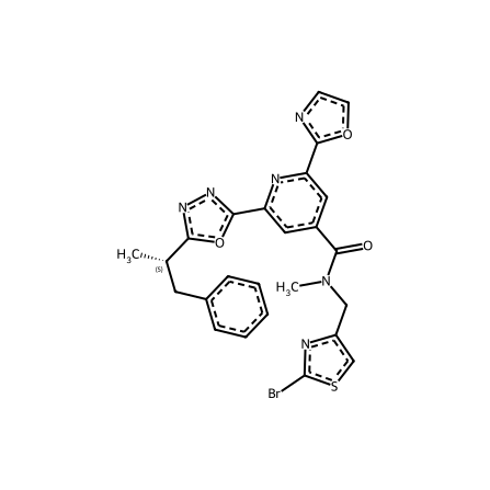 C[C@@H](Cc1ccccc1)c1nnc(-c2cc(C(=O)N(C)Cc3csc(Br)n3)cc(-c3ncco3)n2)o1